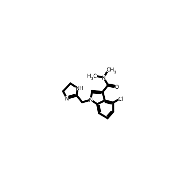 CN(C)C(=O)c1cn(CC2=NCCN2)c2cccc(Cl)c12